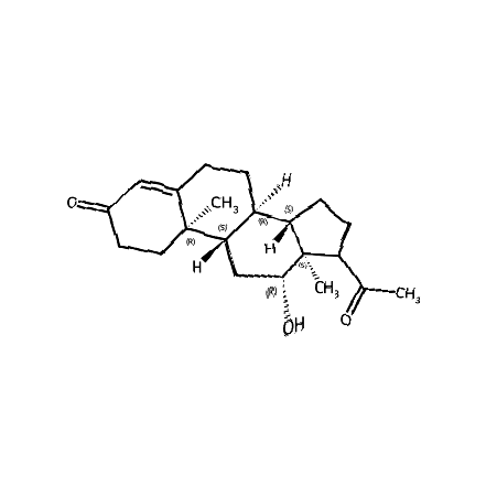 CC(=O)C1CC[C@H]2[C@@H]3CCC4=CC(=O)CC[C@]4(C)[C@H]3C[C@@H](O)[C@]12C